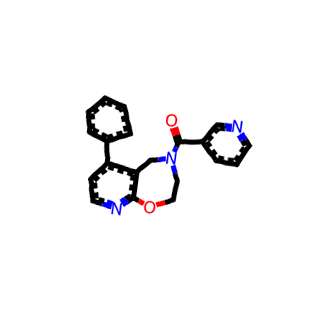 O=C(c1cccnc1)N1CCOc2nccc(-c3ccccc3)c2C1